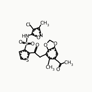 CC(=O)c1cc2c(c(CC(=O)c3sccc3S(=O)(=O)Nc3onc(C)c3Cl)c1C)OCO2